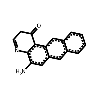 Nc1cc2cc3ccccc3cc2c2c1N=CCC2=O